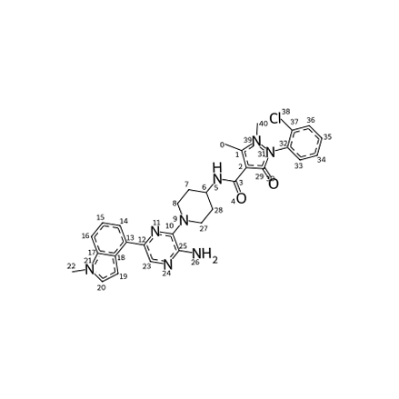 Cc1c(C(=O)NC2CCN(c3nc(-c4cccc5c4ccn5C)cnc3N)CC2)c(=O)n(-c2ccccc2Cl)n1C